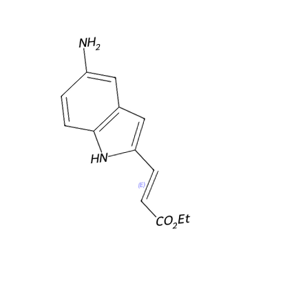 CCOC(=O)/C=C/c1cc2cc(N)ccc2[nH]1